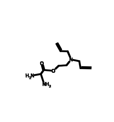 C=CCN(CC=C)CCOC(=O)C(N)N